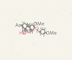 COC1=CC[C@@H](COC2=C(OC)C[C@H]3C4CCC(C(C)=O)=C[C@H]4[C@@H](O)O[C@H]3C2)CC1